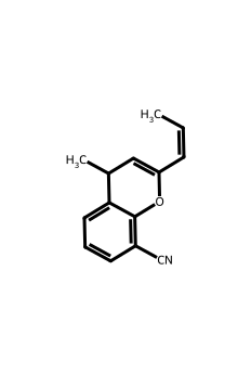 C/C=C\C1=CC(C)c2cccc(C#N)c2O1